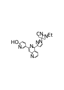 CCN1CC(CC#N)(n2ccc(-c3nc(-c4ccc(O)nc4)cc4ncccc34)n2)C1